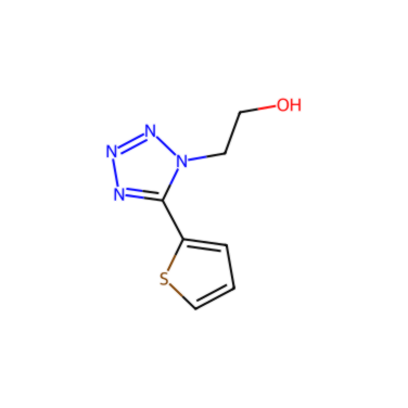 OCCn1nnnc1-c1cccs1